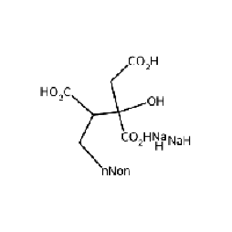 CCCCCCCCCCC(C(=O)O)C(O)(CC(=O)O)C(=O)O.[NaH].[NaH]